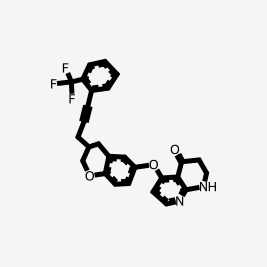 O=C1CCNc2nccc(Oc3ccc4c(c3)CC(CC#Cc3ccccc3C(F)(F)F)CO4)c21